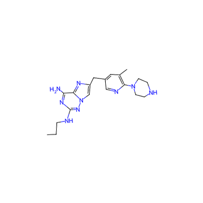 CCCNc1nc(N)c2nc(Cc3cnc(N4CCNCC4)c(C)c3)cn2n1